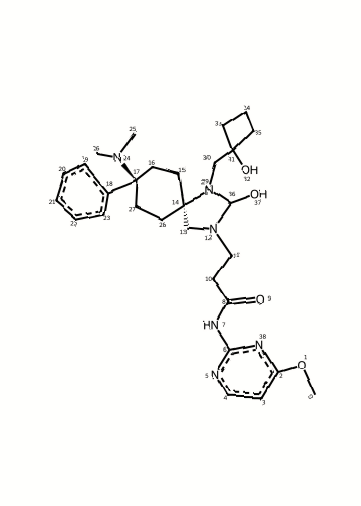 COc1ccnc(NC(=O)CCN2C[C@]3(CC[C@](c4ccccc4)(N(C)C)CC3)N(CC3(O)CCC3)C2O)n1